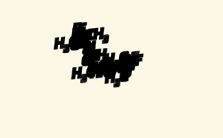 COc1cc(-c2ccc(NC(=O)CCN(C)CCC(=O)Nc3ccc(-c4cc(OC)c(OCC(F)(F)F)c(OC)c4)nc3)cn2)cc(OC)c1OCC(F)(F)F